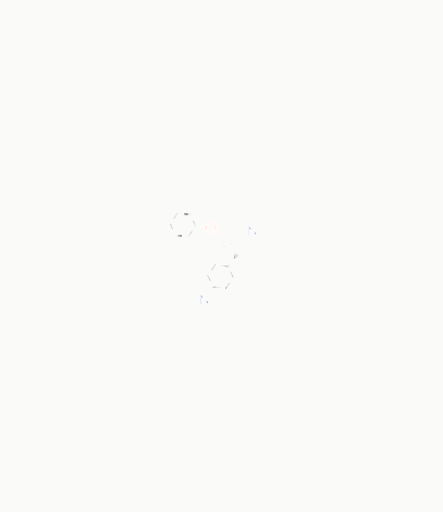 CCCCCN1CC[C@@H](c2ccc(N(C)C)cc2)[C@H](COc2ccc(C(F)(F)F)cc2)C1